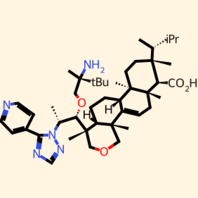 CC(C)[C@@H](C)[C@@]1(C)CC[C@]2(C)[C@H]3CC[C@H]4[C@@](C)([C@@H](OC[C@](C)(N)C(C)(C)C)[C@@H](C)n5ncnc5-c5ccncc5)COC[C@@]4(C)C3=CC[C@@]2(C)[C@@H]1C(=O)O